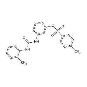 Cc1ccc(S(=O)(=O)Oc2cccc(NC(=O)Nc3ccccc3C)c2)cc1